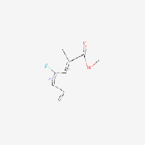 C=C/C=C(F)\C=C(/C)C(=O)OC